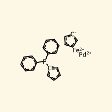 [Fe+2].[Pd+2].c1cc[cH-]c1.c1ccc(P(c2ccccc2)[c-]2cccc2)cc1